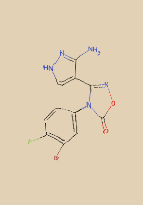 Nc1n[nH]cc1-c1noc(=O)n1-c1ccc(F)c(Br)c1